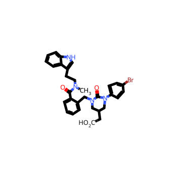 CN(CCc1c[nH]c2ccccc12)C(=O)c1ccccc1CN1CC(CC(=O)O)CN(c2ccc(Br)cc2)C1=O